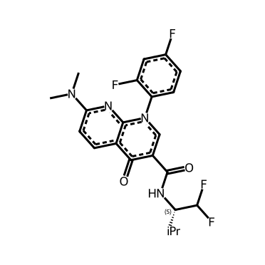 CC(C)[C@H](NC(=O)c1cn(-c2ccc(F)cc2F)c2nc(N(C)C)ccc2c1=O)C(F)F